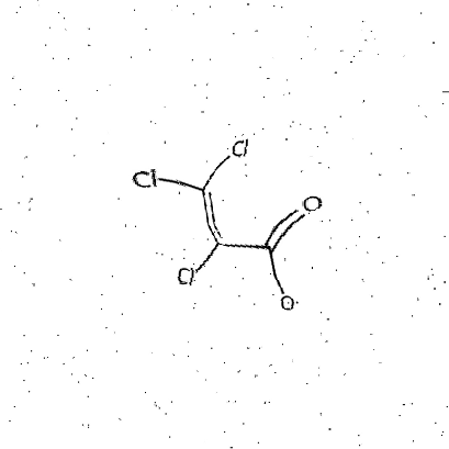 [O]C(=O)C(Cl)=C(Cl)Cl